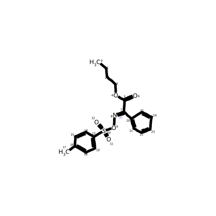 CCCCOC(=O)/C(=N/OS(=O)(=O)c1ccc(C)cc1)c1ccccc1